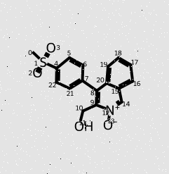 CS(=O)(=O)c1ccc(-c2c(CO)[n+]([O-])cc3ccccc23)cc1